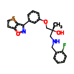 C[C@@](O)(CNCc1ccccc1F)COc1cccc(-c2noc3ccsc23)c1